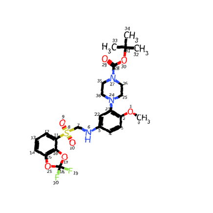 COc1ccc(NCS(=O)(=O)c2cccc3c2OC(F)(F)O3)cc1N1CCN(C(=O)OC(C)(C)C)CC1